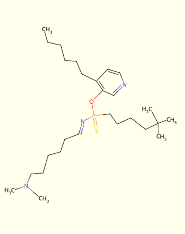 CCCCCCc1ccncc1OP(=S)(CCCCC(C)(C)C)N=CCCCCCN(C)C